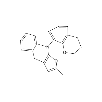 Cc1cc2c(o1)N(c1cccc3c1OCCC3)c1ccccc1C2